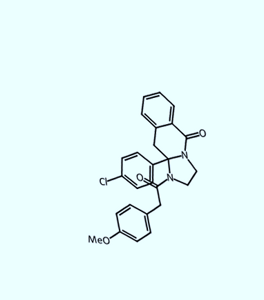 COc1ccc(CC(=O)N2CCN3C(=O)c4ccccc4CC23c2ccc(Cl)cc2)cc1